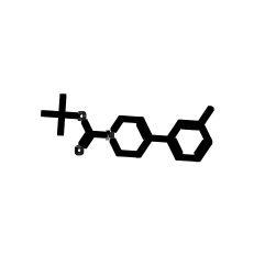 Cc1cccc(C2=CCN(C(=O)OC(C)(C)C)CC2)c1